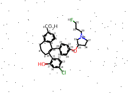 O=C(O)c1ccc2c(c1)CCCC(c1ccc(Cl)cc1O)=C2c1ccc(OC2CCN(CCCF)C2)cc1